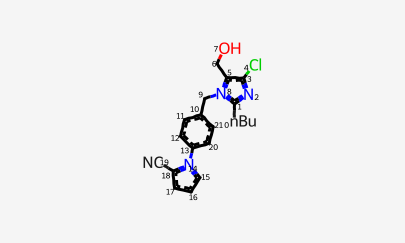 CCCCc1nc(Cl)c(CO)n1Cc1ccc(-n2cccc2C#N)cc1